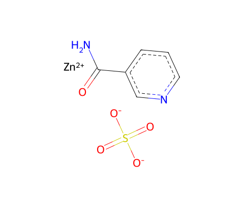 NC(=O)c1cccnc1.O=S(=O)([O-])[O-].[Zn+2]